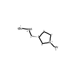 CC(C)N1CC[C@@H](CNC(C)(C)C)C1